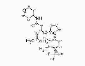 C/C(N)=N/C(CC(=O)NC1CCOCC1)=C(\Cc1cccc(C(F)(F)F)c1C)C1OCCO1